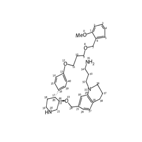 COc1ccccc1COCCCOc1ccc([C@H]2CCNC[C@@H]2OCc2ccc3c(c2)N(CCCN)CCC3)cc1